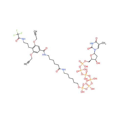 C#CCOc1cc(C(=O)NCCCCCC(=O)NCCCCCCOP(=O)(O)OP(=O)(O)OP(=O)(O)OP(=O)(O)OP(=O)(O)OP(=O)(O)OC[C@H]2O[C@@H](n3cc(C)c(=O)[nH]c3=O)C[C@H]2O)cc(OCC#C)c1CCCNC(=O)C(F)(F)F